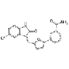 NC(=O)c1cccc(-c2ccc(/C=C3\C(=O)Nc4ccc(Cl)cc43)o2)c1